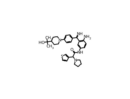 CC(C)(O)C1CCN(c2ccc(C(=N)c3cc(NC(=O)C(c4ccsc4)N4CCCC4)ccc3N)cc2)CC1